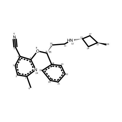 Cc1ccc(C#N)c(O[C@H](CCN[C@H]2C[C@H](C)C2)c2ccccc2)n1